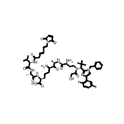 CC(C)[C@H](NC(=O)CCCCCN1C(=O)C=CC1=O)C(=O)N[C@@H](C)C(=O)N[C@@H](CCCC(N)C(=O)[C@@H](C)NC(=O)[C@@H](N)CCN(C(=O)CO)[C@@H](c1nc(-c2cc(F)ccc2F)cn1Cc1ccccc1)C(C)(C)C)C(=O)O